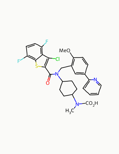 COc1ccc(-c2ccccn2)cc1CN(C(=O)c1sc2c(F)ccc(F)c2c1Cl)C1CCC(N(C)C(=O)O)CC1